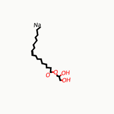 O=C(CCCCCCC/C=C\CCCCCC[CH2][Na])OCC(O)CO